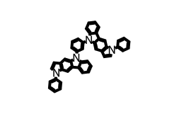 c1ccc(-n2ccc3cc4c(cc32)c2ccccc2n4-c2cccc(-n3c4ccccc4c4cc5c(ccn5-c5ccccc5)cc43)c2)cc1